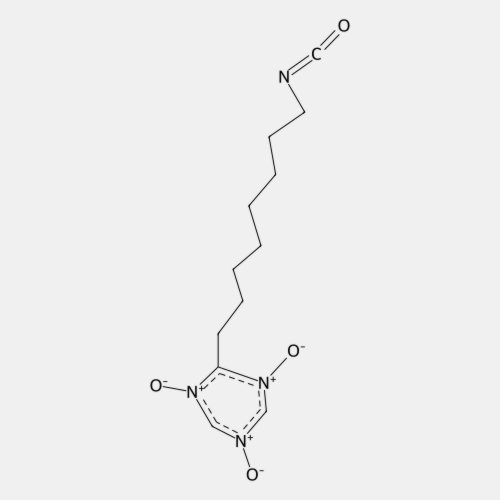 O=C=NCCCCCCCCc1[n+]([O-])c[n+]([O-])c[n+]1[O-]